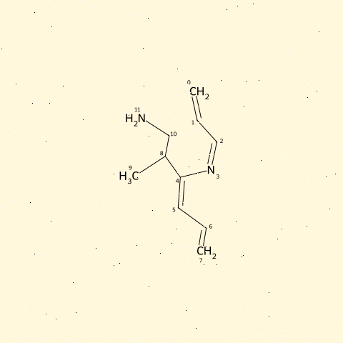 C=C/C=N\C(=C/C=C)C(C)CN